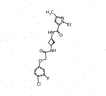 CCn1nc(C)cc1C(=O)NC12CC(NC(=O)COc3ccc(Cl)c(F)c3)(C1)C2